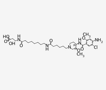 COc1cc(N)c(Cl)cc1C(=O)N[C@@H]1CCN(CCCCCC(=O)NCCCCCCCC(=O)NCCP(=O)(O)O)C[C@@H]1OC